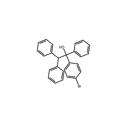 OC(c1ccccc1)(c1ccc(Br)cc1)C(c1ccccc1)c1ccccc1